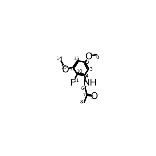 COc1cc(NCC(C)=O)c(F)c(OC)c1